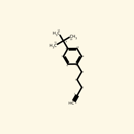 C#CCCCc1ccc(C(C)(C)C)cc1